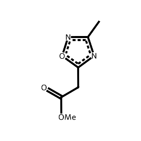 COC(=O)Cc1nc(C)no1